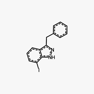 Ic1cccc2c(Cc3ccccc3)n[nH]c12